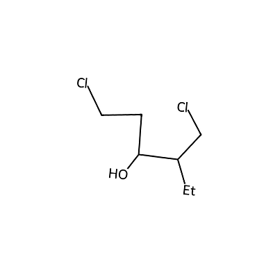 CCC(CCl)C(O)CCCl